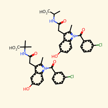 Cc1c(CC(=O)NC(C)(C)C(=O)O)c2cc(O)ccc2n1C(=O)c1cccc(Cl)c1.Cc1c(CC(=O)NC(C)C(=O)O)c2cc(O)ccc2n1C(=O)c1cccc(Cl)c1